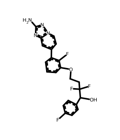 Nc1nc2cc(-c3cccc(OCCC(F)(F)C(O)c4ccc(F)cc4)c3F)ccn2n1